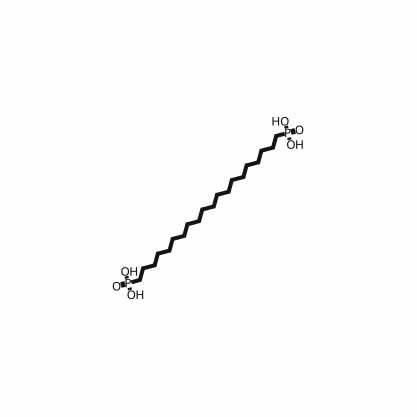 O=P(O)(O)CCCCCCCCCCCCCCCCCCCCP(=O)(O)O